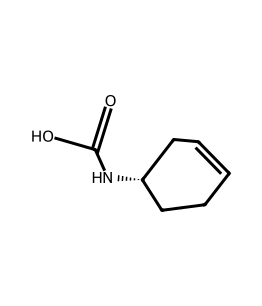 O=C(O)N[C@@H]1CC=CCC1